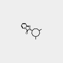 CC1CCC(C)CCC(n2nc3ccccn3c2=O)CC1